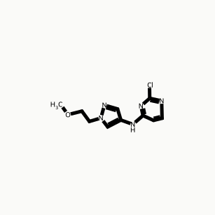 COCCn1cc(Nc2ccnc(Cl)n2)cn1